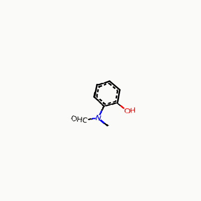 CN(C=O)c1ccccc1O